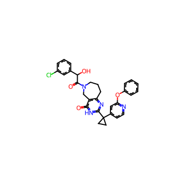 O=C(C(O)c1cccc(Cl)c1)N1CCCc2nc(C3(c4ccnc(Oc5ccccc5)c4)CC3)[nH]c(=O)c2C1